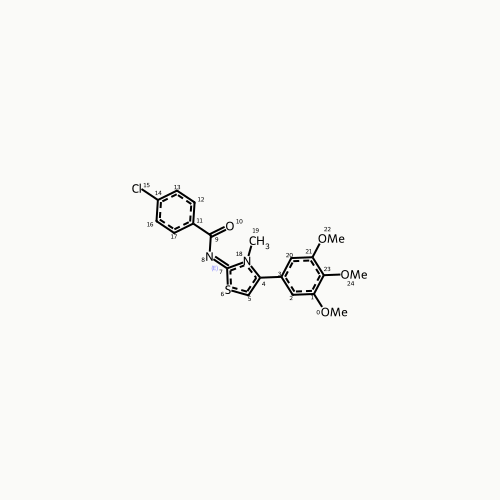 COc1cc(-c2cs/c(=N/C(=O)c3ccc(Cl)cc3)n2C)cc(OC)c1OC